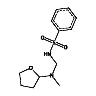 CN(CNS(=O)(=O)c1ccccc1)C1CCCO1